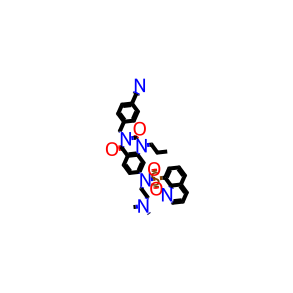 CCCn1c(=O)n(Cc2ccc(C#N)cc2)c(=O)c2ccc(N(CCN(C)C)S(=O)(=O)c3cccc4cccnc34)cc21